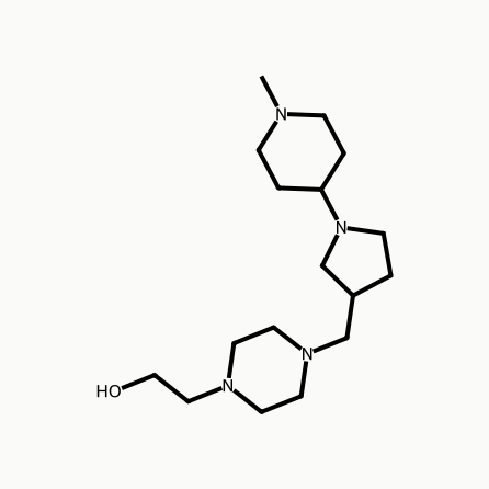 CN1CCC(N2CCC(CN3CCN(CCO)CC3)C2)CC1